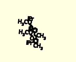 CC(C)C1=C(OCCOC(C)C(C)C)C(C(C)Cc2cccc(OCCOC(C)C(C)C)c2)=CCC1C